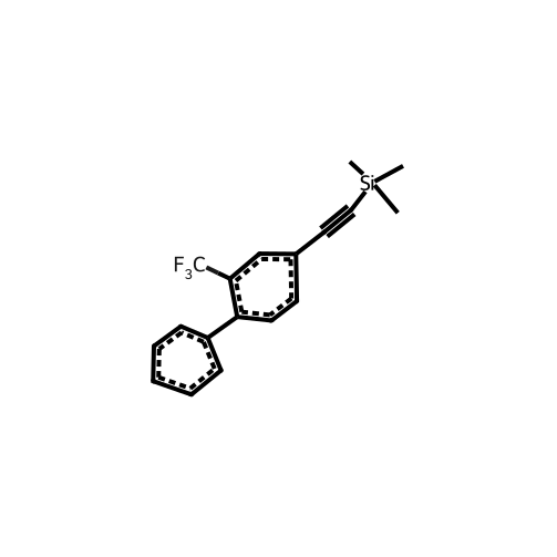 C[Si](C)(C)C#Cc1ccc(-c2ccccc2)c(C(F)(F)F)c1